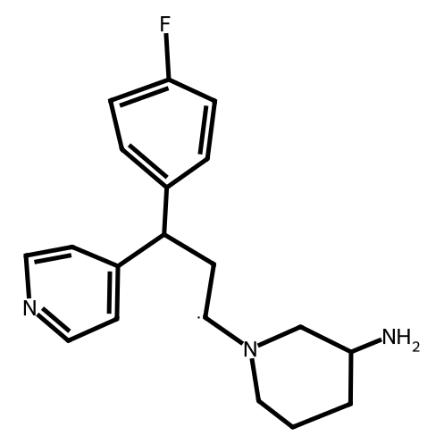 NC1CCCN([CH]CC(c2ccncc2)c2ccc(F)cc2)C1